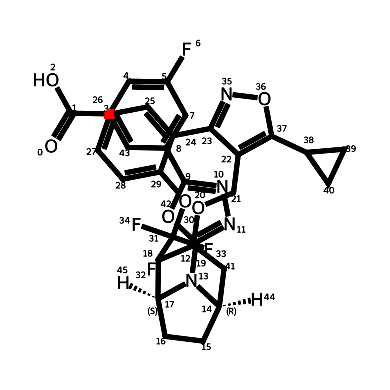 O=C(O)c1cc(F)cc(-c2nnc(N3[C@@H]4CC[C@H]3CC(OCc3c(-c5ccccc5OC(F)(F)F)noc3C3CC3)C4)o2)c1